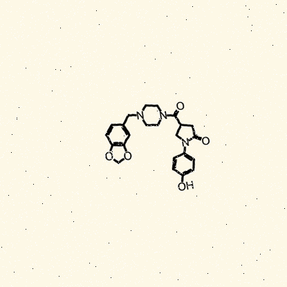 O=C(C1CC(=O)N(c2ccc(O)cc2)C1)N1CCN(Cc2ccc3c(c2)OCO3)CC1